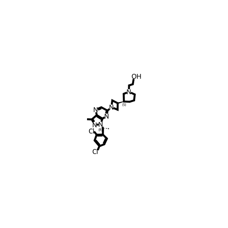 Cc1nn([C@H](C)c2ccc(Cl)cc2Cl)c2nc(N3CC([C@@H]4CCCN(CCO)C4)C3)cnc12